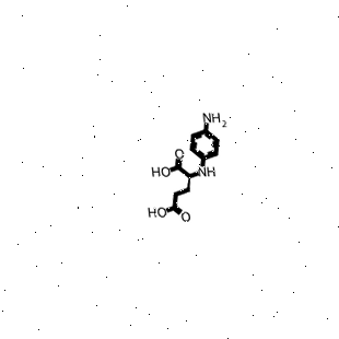 Nc1ccc(N[C@@H](CCC(=O)O)C(=O)O)cc1